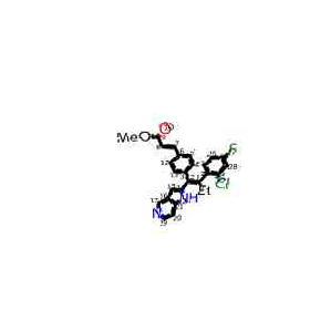 CC/C(=C(/c1ccc(/C=C/C(=O)OC)cc1)c1cc2cnccc2[nH]1)c1ccc(F)cc1Cl